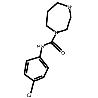 O=C(Nc1ccc(Cl)cc1)N1CCC[N]CC1